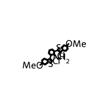 COc1ccc2c(Cl)c(-c3cccc(-c4c(Cl)sc5cc(OC)ccc45)c3N)sc2c1